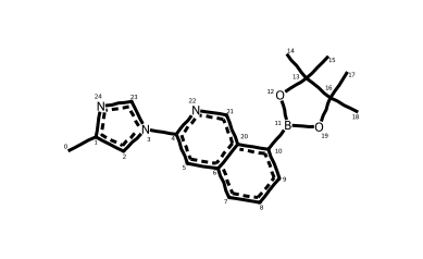 Cc1cn(-c2cc3cccc(B4OC(C)(C)C(C)(C)O4)c3cn2)cn1